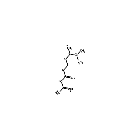 CC(=N)OC(=O)CCCC(C)N(C)C